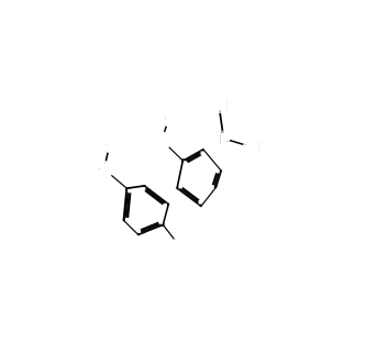 FC(F)(F)Oc1ccc(Br)cc1.FC(F)(F)Oc1ccccc1.OBO